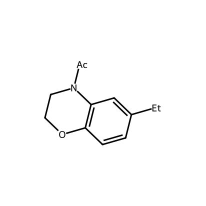 CCc1ccc2c(c1)N(C(C)=O)CCO2